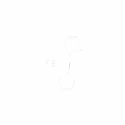 C1=CC[C]([Co][C]2=CC=CC2)=C1.[C]=O.[C]=O